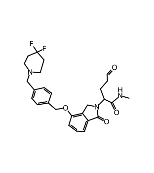 CNC(=O)C(CCC=O)N1Cc2c(OCc3ccc(CN4CCC(F)(F)CC4)cc3)cccc2C1=O